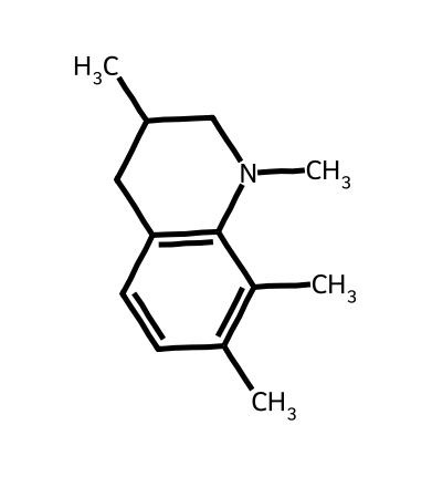 Cc1ccc2c(c1C)N(C)CC(C)C2